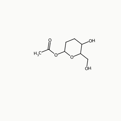 CC(=O)OC1CCC(O)C(CO)O1